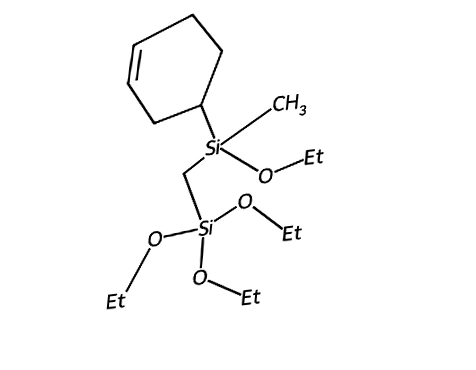 CCO[Si](C[Si](C)(OCC)C1CC=CCC1)(OCC)OCC